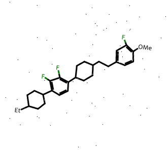 CCC1CCC(c2ccc(C3CCC(CCc4ccc(OC)c(F)c4)CC3)c(F)c2F)CC1